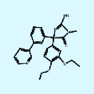 CCOc1ccc(C2(c3cccc(-c4cccnc4)c3)N=C(N)N(C)C2=O)cc1OCC